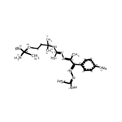 CN/C(S)=N/N=C(/C(C)=N/N=C(\S)NC(C)(C)CCOC(C)(N)C(C)(C)C)c1ccc(OC)cc1